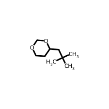 CC(C)(C)CC1CCOCO1